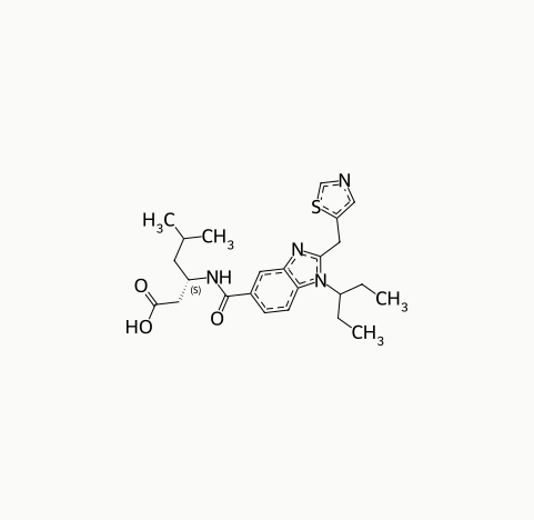 CCC(CC)n1c(Cc2cncs2)nc2cc(C(=O)N[C@H](CC(=O)O)CC(C)C)ccc21